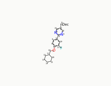 CCCCCCCCCCc1cnc(-c2ccc(OCC3CC[CH]CC3)c(F)c2)nc1